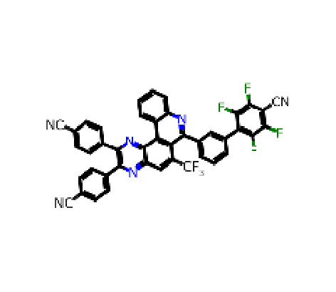 N#Cc1ccc(-c2nc3cc(C(F)(F)F)c4c(-c5cccc(-c6c(F)c(F)c(C#N)c(F)c6F)c5)nc5ccccc5c4c3nc2-c2ccc(C#N)cc2)cc1